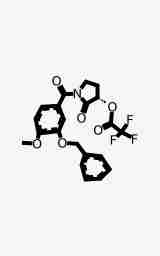 COc1ccc(C(=O)N2CC[C@H](OC(=O)C(F)(F)F)C2=O)cc1OCc1ccccc1